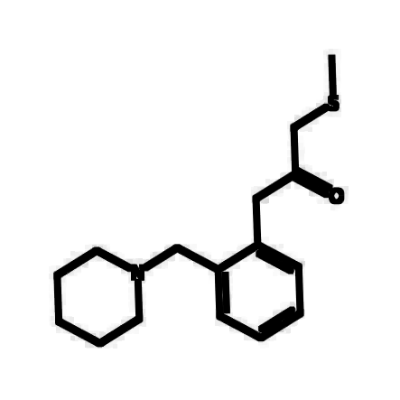 CSCC(=O)Cc1ccccc1CN1CCCCC1